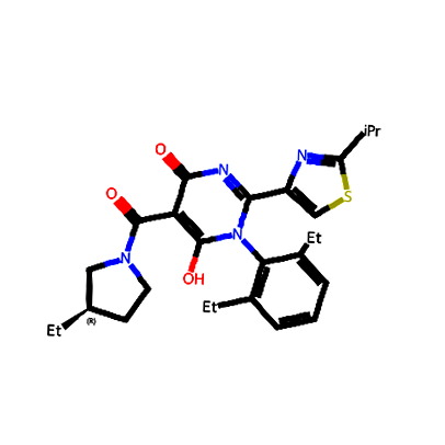 CCc1cccc(CC)c1-n1c(-c2csc(C(C)C)n2)nc(=O)c(C(=O)N2CC[C@@H](CC)C2)c1O